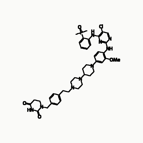 COc1cc(N2CCC(N3CCN(CCc4ccc(CN5CCC(=O)NC5=O)cc4)CC3)CC2)ccc1Nc1ncc(Cl)c(Nc2ccccc2P(C)(C)=O)n1